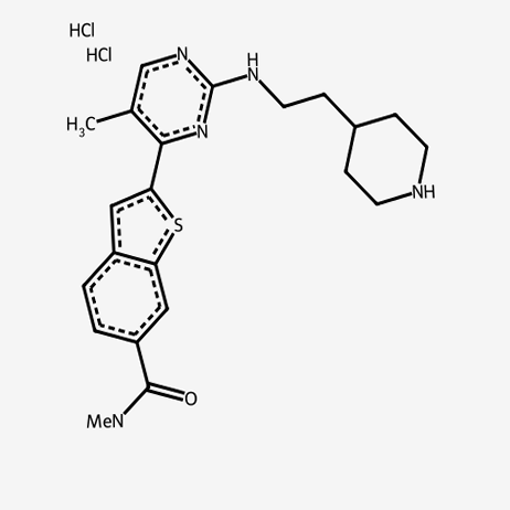 CNC(=O)c1ccc2cc(-c3nc(NCCC4CCNCC4)ncc3C)sc2c1.Cl.Cl